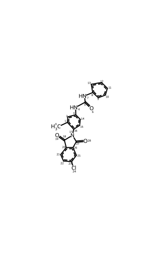 Cc1cc(NC(=O)Nc2ccccc2)ccc1N1C(=O)c2ccc(Cl)cc2C1=O